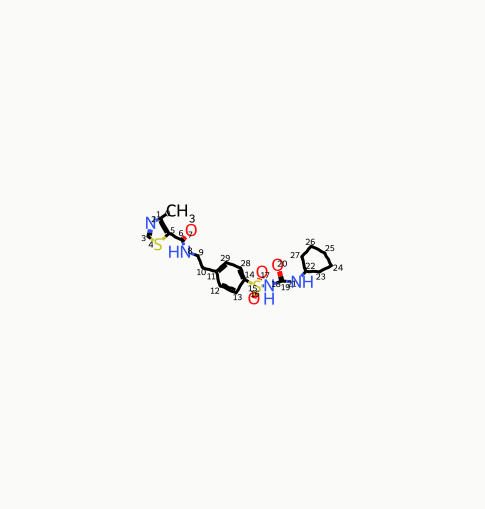 Cc1ncsc1C(=O)NCCc1ccc(S(=O)(=O)NC(=O)NC2CCCCC2)cc1